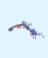 Nc1nc2ncc(CNc3ccc(C(=O)N[C@@H](CCC(=O)OCCSSc4ccccn4)C(=O)O)cc3)nc2c(=O)[nH]1